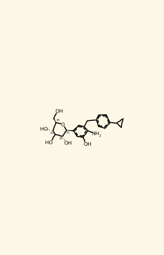 Nc1c(O)cc([C@@H]2O[C@H](CO)[C@@H](O)C(O)[C@H]2O)cc1Cc1ccc(C2CC2)cc1